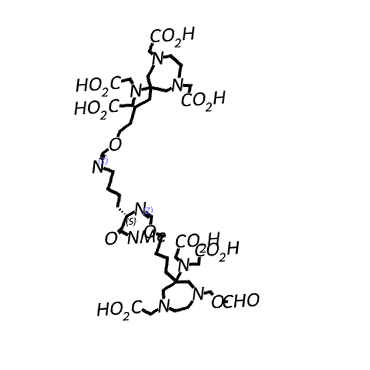 CNC(=O)[C@H](CCCC/N=C\OCCCCC1(N(CC(=O)O)CC(=O)O)CN(CC(=O)O)CCN(CC(=O)O)C1)/N=C\OCCCCC1(N(CC(=O)O)CC(=O)O)CN(COC=O)CCN(CC(=O)O)C1